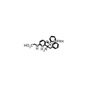 CCCCCCc1cccc(CC(N)(c2cccc(NCC(=O)O)n2)S(=O)(=O)c2ccccn2)c1